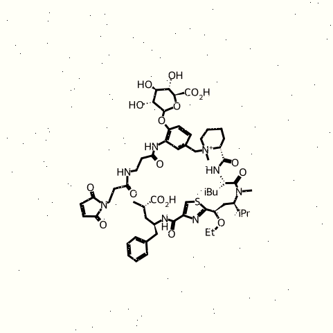 CCO[C@H](C[C@H](C(C)C)N(C)C(=O)[C@@H](NC(=O)[C@H]1CCCC[N+]1(C)Cc1ccc(OC2O[C@H](C(=O)O)[C@@H](O)[C@H](O)[C@H]2O)c(NC(=O)CCNC(=O)CCN2C(=O)C=CC2=O)c1)[C@@H](C)CC)c1nc(C(=O)N[C@@H](Cc2ccccc2)C[C@H](C)C(=O)O)cs1